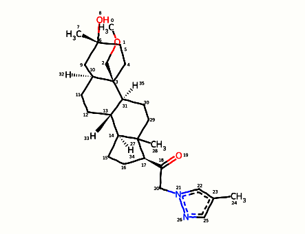 COC[C@]12CC[C@@](C)(O)C[C@@H]1CC[C@H]1[C@@H]3CC[C@H](C(=O)Cn4cc(C)cn4)C3(C)CC[C@@H]12